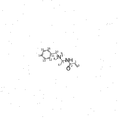 C=CC(=O)NC(C)[N+](C)(C)Cc1ccccc1